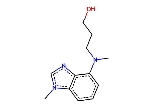 CN(CCCO)c1cccc2c1ncn2C